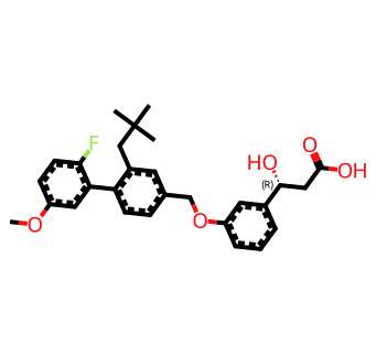 COc1ccc(F)c(-c2ccc(COc3cccc([C@H](O)CC(=O)O)c3)cc2CC(C)(C)C)c1